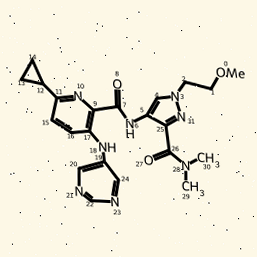 COCCn1cc(NC(=O)c2nc(C3CC3)ccc2Nc2cncnc2)c(C(=O)N(C)C)n1